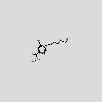 CCCCCCOc1ccc(C(=N)NO)cc1Cl